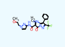 COCCn1ccc(NC(=O)c2c(C)[nH]c3c(-c4ccccc4)c(C(F)(F)F)nn3c2=O)n1